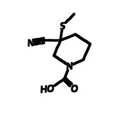 CSC1(C#N)CCCN(C(=O)O)C1